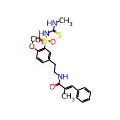 CNC(=S)NS(=O)(=O)c1cc(CCNC(=O)C(C)=Cc2ccccc2)ccc1OC